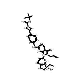 C=CCn1c(=O)c2cnc(Nc3ccc(C4CN(C(=O)OC(C)(C)C)C4)cc3)nc2n1-c1ccc2c(n1)[C@@](O)(CC)CC2